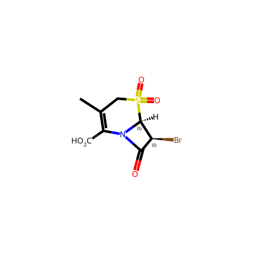 CC1=C(C(=O)O)N2C(=O)[C@H](Br)[C@@H]2S(=O)(=O)C1